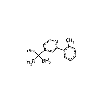 BC(B)(c1ccnc(-c2ccccc2C)c1)C(C)(C)C